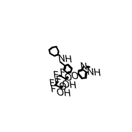 O=C(O)C(F)(F)F.O=C(O)C(F)(F)F.c1nc2cc(Oc3ccc(CNC4CCCCCC4)cc3)ccc2[nH]1